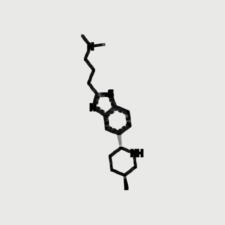 C[C@H]1CC[C@H](c2ccc3sc(CCCN(C)C)nc3c2)NC1